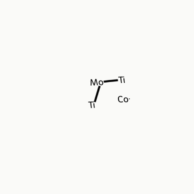 [Co].[Ti][Mo][Ti]